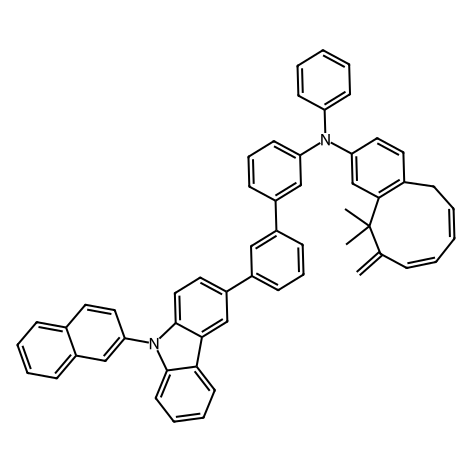 C=C1/C=C\C=C/Cc2ccc(N(c3ccccc3)c3cccc(-c4cccc(-c5ccc6c(c5)c5ccccc5n6-c5ccc6ccccc6c5)c4)c3)cc2C1(C)C